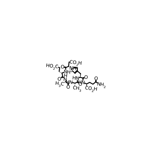 C[C@H](NC(=O)[C@H](C)NC(=O)[C@H](CCC(=O)O)NC(=O)[C@@H](N)CC(=O)O)C(=O)N[C@@H](Cc1ccsc1)C(=O)N[C@@H](CCC(N)=O)C(=O)O